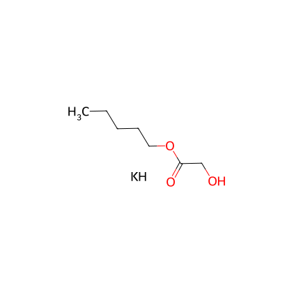 CCCCCOC(=O)CO.[KH]